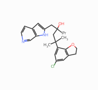 CC(C)C(O)(Cc1cc2ccncc2[nH]1)CC(C)(C)c1cc(Cl)cc2c1OCC2